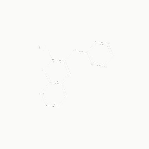 O=C(O)c1nc2ccccc2cc1Cc1ccccc1